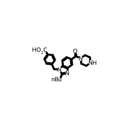 CCCCc1nc2cc(C(=O)N3CCNCC3)ccc2n1Cc1ccc(C(=O)O)cc1